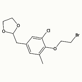 Cc1cc(CC2OCCO2)cc(Cl)c1OCCBr